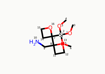 CO[Si](OC)(OC)C1(C2(CN)CCO2)CCO1